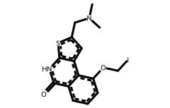 CN(C)Cc1cc2c([nH]c(=O)c3cccc(OCI)c32)s1